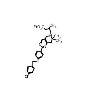 CCOC(=O)CC(C)CN1Cc2cnc(-c3ccc(OCc4ccc(Cl)cc4)cc3)nc2CC1(C)C